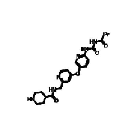 CC(C)C(=O)NC(=O)Nc1ccc(Oc2ccnc(CNC(=O)C3CCNCC3)c2)cn1